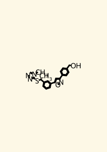 CC(Sc1nncn1C)c1cccc(-c2cc(-c3ccc(CO)cc3)no2)c1